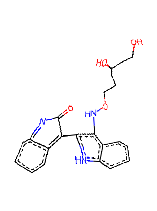 O=C1N=c2ccccc2=C1c1[nH]c2ccccc2c1NOCCC(O)CO